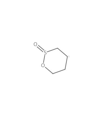 O=S1C[C]CCO1